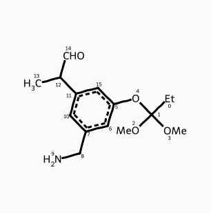 CCC(OC)(OC)Oc1cc(CN)cc(C(C)C=O)c1